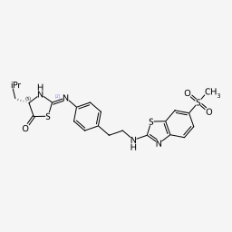 CC(C)C[C@@H]1N/C(=N/c2ccc(CCNc3nc4ccc(S(C)(=O)=O)cc4s3)cc2)SC1=O